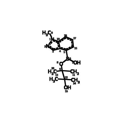 Cn1ncc2c(B(O)OC(C)(C)C(C)(C)O)cccc21